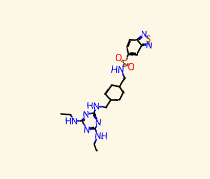 CCNc1nc(NCC)nc(NCC2CCC(CNS(=O)(=O)c3ccc4nsnc4c3)CC2)n1